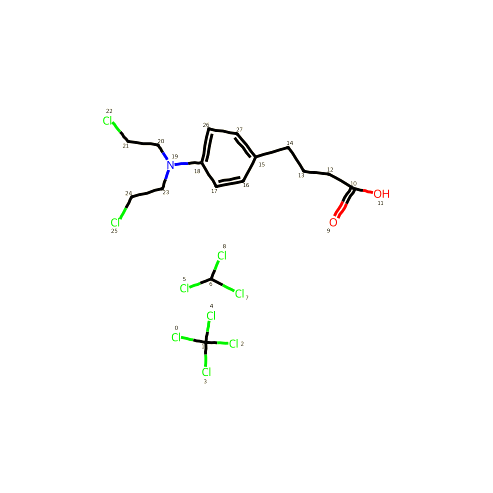 ClC(Cl)(Cl)Cl.ClC(Cl)Cl.O=C(O)CCCc1ccc(N(CCCl)CCCl)cc1